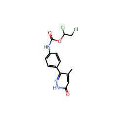 Cc1cc(=O)[nH]nc1-c1ccc(NC(=O)OC(Cl)CCl)cc1